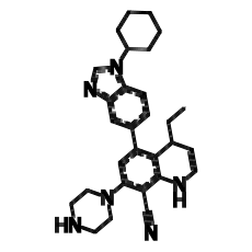 CCC1C=CNc2c(C#N)c(N3CCNCC3)cc(-c3ccc4c(c3)ncn4C3CCCCC3)c21